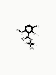 CCNc1ccc(N)c(C)c1C(C)NS(C)(=O)=O